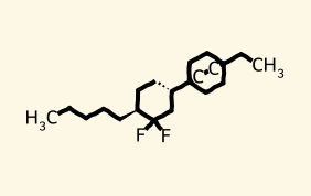 CCCCC[C@H]1CC[C@H](C23CCC(CC)(CC2)CC3)CC1(F)F